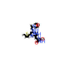 Cc1ccc(-c2cc(NCC(C)N3CCOCC3)n3ncc(/C=C4\NC(=O)NC4=O)c3n2)s1